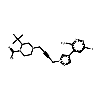 CC(C)(C)C1CN(CC#CCn2cc(-c3cc(Cl)nnc3N)cn2)CCN1C(=O)O